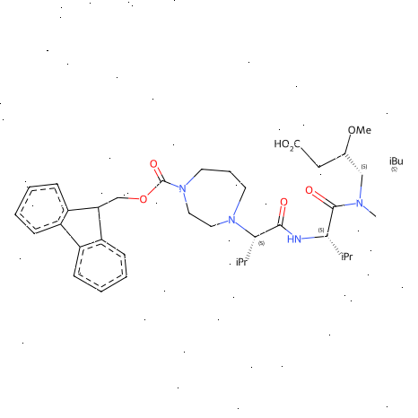 CC[C@H](C)[C@@H](C(CC(=O)O)OC)N(C)C(=O)[C@@H](NC(=O)[C@H](C(C)C)N1CCCN(C(=O)OCC2c3ccccc3-c3ccccc32)CC1)C(C)C